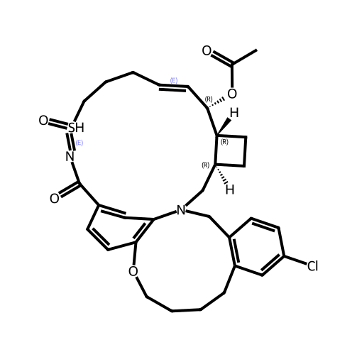 CC(=O)O[C@H]1/C=C/CCC/[SH](=O)=N\C(=O)c2ccc3c(c2)N(Cc2ccc(Cl)cc2CCCCO3)C[C@@H]2CC[C@H]21